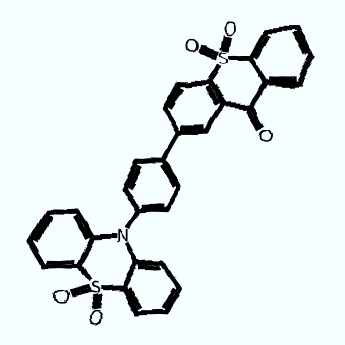 O=C1c2ccccc2S(=O)(=O)c2ccc(-c3ccc(N4c5ccccc5S(=O)(=O)c5ccccc54)cc3)cc21